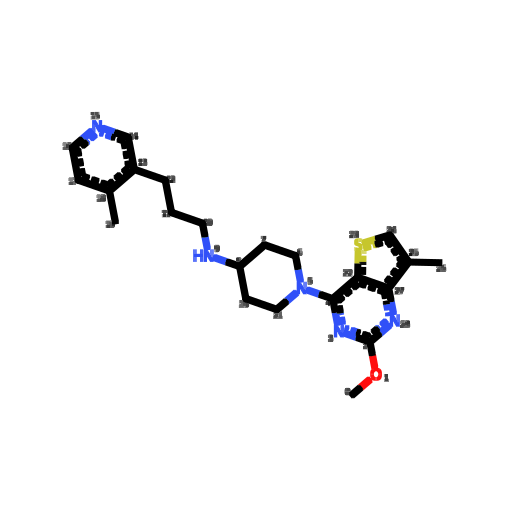 COc1nc(N2CCC(NCCCc3cnccc3C)CC2)c2scc(C)c2n1